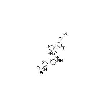 CN(C)CCOc1cc(F)cc(-c2cncc3[nH]c(-c4n[nH]c5ccc(-c6cncc(NC(=O)C(C)(C)C)c6)nc45)nc23)c1